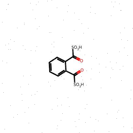 O=C(c1ccccc1C(=O)S(=O)(=O)O)S(=O)(=O)O